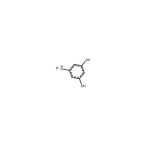 Oc1cc(O)cc(O)c1.[Zr]